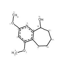 COc1cc(OC)c2c(n1)C(O)CCCC2